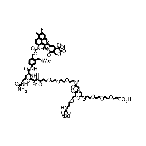 CC[C@@]1(O)C(=O)OCc2c1cc1n(c2=O)Cc2c-1nc1cc(F)c(C)c3c1c2[C@@H](NC(=O)OCc1ccc(NC(=O)[C@H](CCCNC(N)=O)NC(=O)[C@@H](NC(=O)CCOCCOCCOCCN(C)C(=O)CN(CC(=O)N(C)CCOCCOCCOCCC(=O)O)C(=O)CCOCCNC(=O)OC(C)(C)C)C(C)C)cc1CNC)CC3